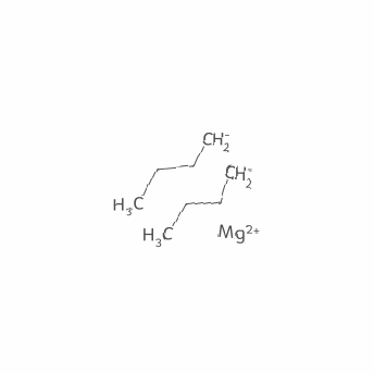 [CH2-]CCC.[CH2-]CCC.[Mg+2]